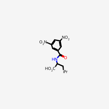 CC(C)CC(NC(=O)c1cc([N+](=O)[O-])cc([N+](=O)[O-])c1)C(=O)O